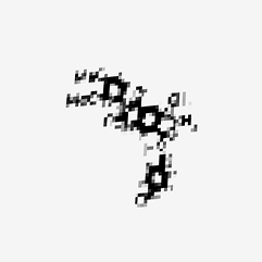 COc1ccc(-n2c(=O)[nH]c3cc(C(=O)NCc4ccc(Cl)cc4)c(N(C)C)cc3c2=O)nc1OC